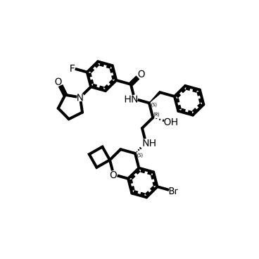 O=C(N[C@@H](Cc1ccccc1)[C@H](O)CN[C@H]1CC2(CCC2)Oc2ccc(Br)cc21)c1ccc(F)c(N2CCCC2=O)c1